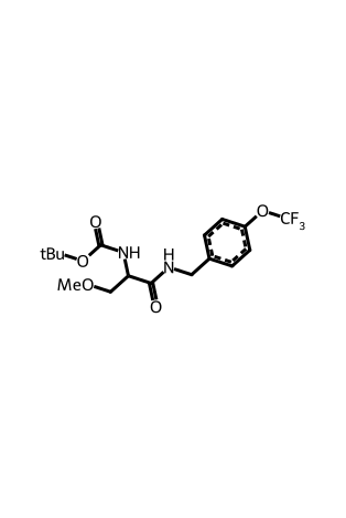 COCC(NC(=O)OC(C)(C)C)C(=O)NCc1ccc(OC(F)(F)F)cc1